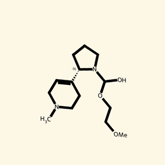 COCCOC(O)N1CCC[C@H]1C1=CCN(C)CC1